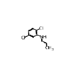 CCCNc1cc(Cl)ccc1Cl